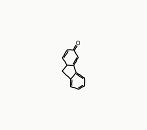 O=C1C=CC2Cc3ccccc3C2=C1